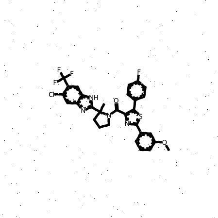 COc1cccc(-c2nc(C(=O)N3CCCC3(C)c3nc4cc(Cl)c(C(F)(F)F)cc4[nH]3)c(-c3ccc(F)cc3)s2)c1